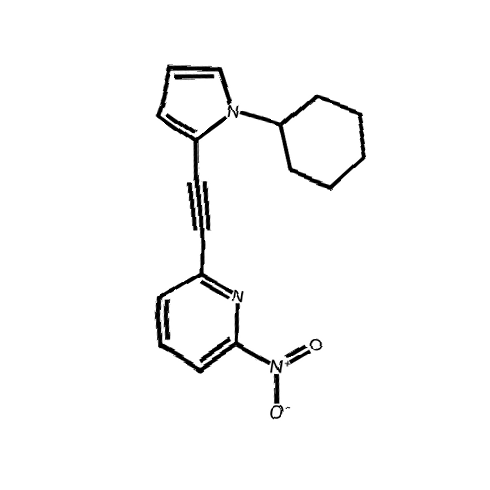 O=[N+]([O-])c1cccc(C#Cc2cccn2C2CCCCC2)n1